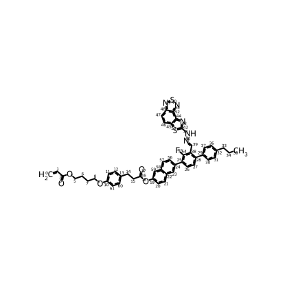 C=CC(=O)OCCCCOc1ccc(CCC(=O)Oc2ccc3cc(-c4ccc(-c5ccc(CCC)cc5)c(/C=N/Nc5nc6c(ccc7nsnc76)s5)c4F)ccc3c2)cc1